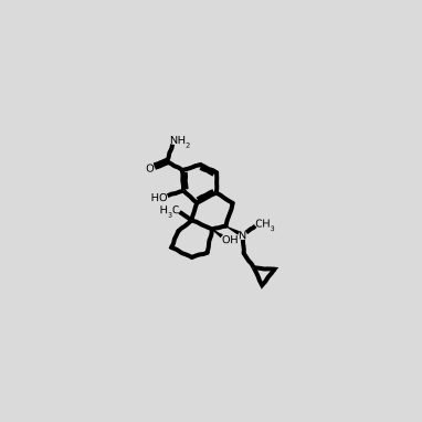 CN(CC1CC1)[C@@H]1Cc2ccc(C(N)=O)c(O)c2C2(C)CCCC[C@@]12O